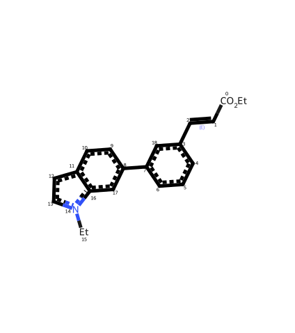 CCOC(=O)/C=C/c1cccc(-c2ccc3ccn(CC)c3c2)c1